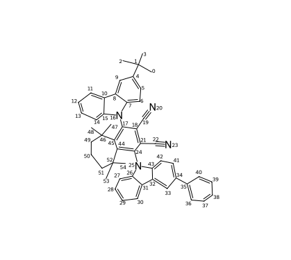 CC(C)(C)c1ccc2c(c1)c1ccccc1n2-c1c(C#N)c(C#N)c(-n2c3ccccc3c3cc(-c4ccccc4)ccc32)c2c1C(C)(C)CCCC2(C)C